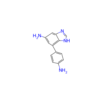 Nc1ccc(-c2cc(N)cc3nc[nH]c23)cc1